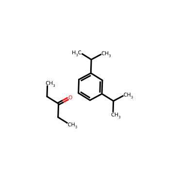 CC(C)c1cccc(C(C)C)c1.CCC(=O)CC